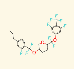 CCCc1ccc(C(F)(F)OC2CCC(C(F)(F)Oc3cc(F)c(C(F)(F)F)c(F)c3)OC2)c(F)c1